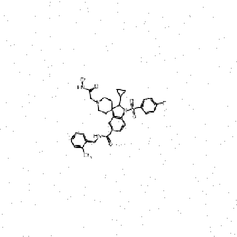 CCNC(=O)CN1CCC2(CC1)c1cc(C(=O)NCc3ccccc3C(F)(F)F)ccc1N(S(=O)(=O)c1ccc(F)cc1)C2C1CC1